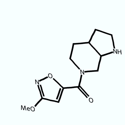 COc1cc(C(=O)N2CCC3CCNC3C2)on1